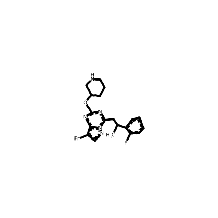 CC(C)c1cnn2c(CC(C)c3ccccc3F)nc(OC3CCCNC3)nc12